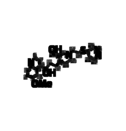 COc1ccc2nccc([C@@H](O)CC[C@@H]3CCN(CCSc4ccnnc4)C[C@@H]3CO)c2c1